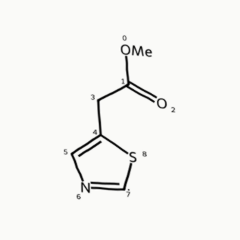 COC(=O)Cc1cn[c]s1